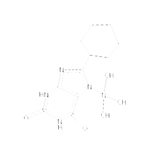 C[N+](C)(C)n1c(C2CCCCC2)nc2[nH]c(=O)[nH]c(=O)c21